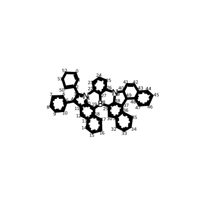 C1=CC(c2c(-c3ccccc3)c3cc4ccccc4c4c3n2-c2cccc3c2B4c2cc4ccccc4c4c2N3C2C=Cc3ccccc3C42)=CCC1